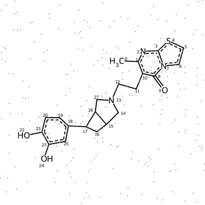 Cc1nc2sccn2c(=O)c1CCN1CC2CC(c3ccc(O)c(O)c3)C2C1